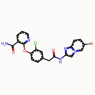 NC(=O)c1cccnc1Oc1ccc(CC(=O)Nc2cn3cc(Br)ccc3n2)cc1Cl